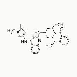 CCC1CC(Nc2nc(Nc3cc(C)[nH]n3)c3ccccc3n2)CC(CC)N1C(=O)c1ccccn1